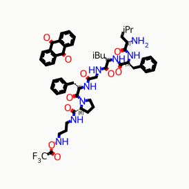 CCC(C)[C@H](NC(=O)[C@H](Cc1ccccc1)NC(=O)[C@@H](N)CC(C)C)C(=O)NCC(=O)N[C@@H](Cc1ccccc1)C(=O)N1CCC[C@@H]1C(=O)NCCCNOC(=O)C(F)(F)F.O=C1c2ccccc2C(=O)c2ccccc21